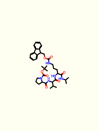 CC(C)NC(=O)C(CCCNC(=O)OCC1c2ccccc2-c2ccccc21)NC(=O)C(NC(=O)C1CCCN1C(=O)OC(C)(C)C)C(C)C